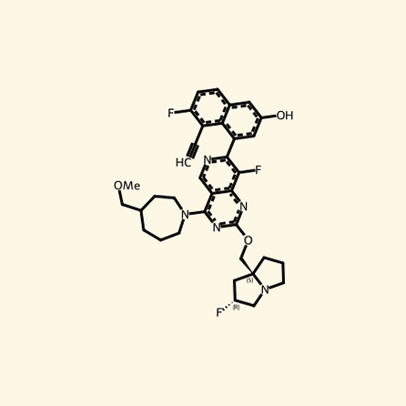 C#Cc1c(F)ccc2cc(O)cc(-c3ncc4c(N5CCCC(COC)CC5)nc(OC[C@@]56CCCN5C[C@H](F)C6)nc4c3F)c12